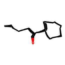 CCCCC(=O)C1=CCCCC1